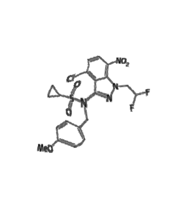 COc1ccc(CN(c2nn(CC(F)F)c3c([N+](=O)[O-])ccc(Cl)c23)S(=O)(=O)C2CC2)cc1